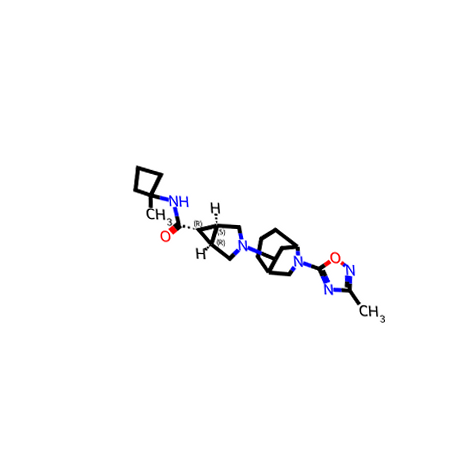 Cc1noc(N2CC3CCCC2CC3N2C[C@@H]3[C@H](C2)[C@H]3C(=O)NC2(C)CCC2)n1